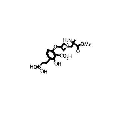 COC(=O)C(C)(N)CN1CC(Oc2ccc(CCB(O)O)c(O)c2C(=O)O)C1